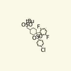 CC(C)(C)S(=O)(=O)CC1CCC(c2cc(F)ccc2F)(S(=O)(=O)c2ccc(Cl)cc2)CC1